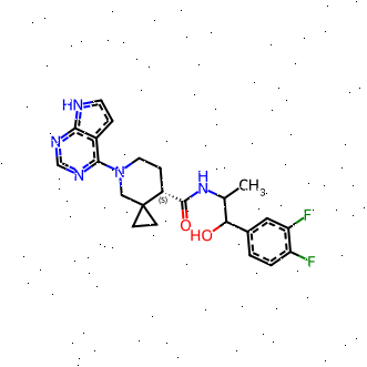 CC(NC(=O)[C@H]1CCN(c2ncnc3[nH]ccc23)CC12CC2)C(O)c1ccc(F)c(F)c1